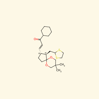 CC1(C)COC2(CC[C@H](C=CC(=O)C3CCCCC3)[C@H]2CC2SCCS2)OC1